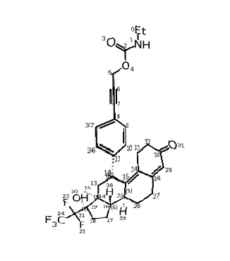 CCNC(=O)OCC#Cc1ccc([C@H]2C[C@@]3(C)[C@@H](CC[C@@]3(O)C(F)(F)C(F)(F)F)[C@@H]3CCC4=CC(=O)CCC4=C32)cc1